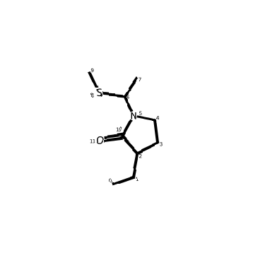 CCC1CCN(C(C)SC)C1=O